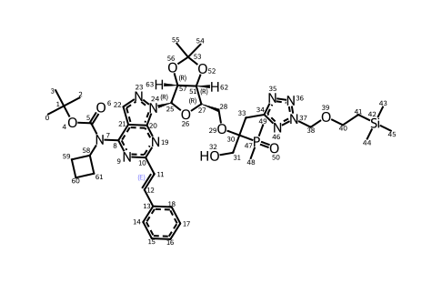 CC(C)(C)OC(=O)N(c1nc(/C=C/c2ccccc2)nc2c1cnn2[C@@H]1O[C@H](COC(CO)(Cc2nnn(COCC[Si](C)(C)C)n2)P(C)(C)=O)[C@H]2OC(C)(C)O[C@H]21)C1CCC1